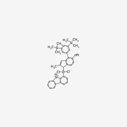 CCCc1ccc2c(c1-c1cc([Si](C)(C)C)cc([Si](C)(C)C)c1)C=C(C)[CH]2[Zr]([Cl])([Cl])[c]1cccc2c1[SiH2]c1ccccc1-2